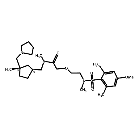 COc1cc(C)c(S(=O)(=O)N(C)CCOCC(=O)N(C)C[C@H]2CC[C@](C)(CN3CCCC3)C2)c(C)c1